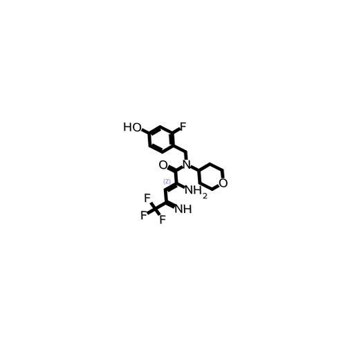 N=C(/C=C(\N)C(=O)N(Cc1ccc(O)cc1F)C1CCOCC1)C(F)(F)F